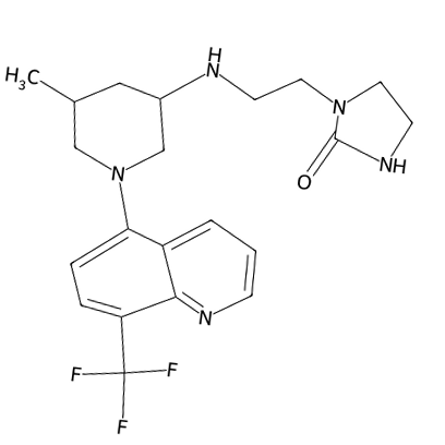 CC1CC(NCCN2CCNC2=O)CN(c2ccc(C(F)(F)F)c3ncccc23)C1